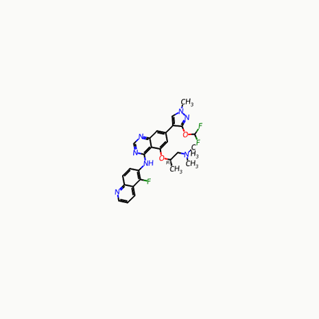 C[C@H](CN(C)C)Oc1cc(-c2cn(C)nc2OC(F)F)cc2ncnc(Nc3ccc4ncccc4c3F)c12